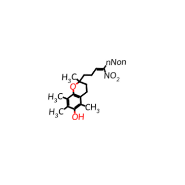 CCCCCCCCC/C(=C/CCC1(C)CCc2c(C)c(O)c(C)c(C)c2O1)[N+](=O)[O-]